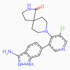 Nc1n[nH]c2cc(-c3cncc(Cl)c3N3CCC4(CCNC4=O)CC3)ccc12